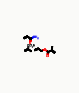 C=C(C)C(=O)O.C=CC(N)=O.C=CCOC(=O)C(=C)C